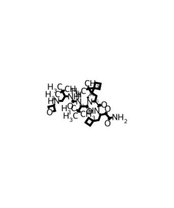 CC(C)(C)C(CNC1COC1)NC(=O)N[C@H](C(=O)N1C[C@]2(C[C@H]1C(=O)NC(CC1CCC1)C(=O)C(N)=O)C(C)(C)C21CCC1)C(C)(C)C